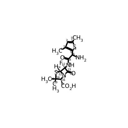 Cc1cc(C)c(C(N)C(=O)N[C@@]2(F)C(=O)N3[C@@H](C(=O)O)C(C)(C)S[C@@H]32)s1